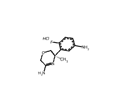 C[C@@]1(c2cc(N)ccc2F)COCC(N)=N1.Cl